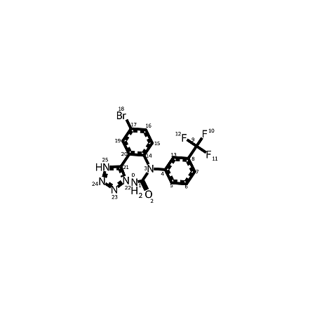 NC(=O)N(c1cccc(C(F)(F)F)c1)c1ccc(Br)cc1-c1nnn[nH]1